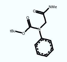 CNC(=O)CN(C(=O)OC(C)(C)C)c1ccccc1